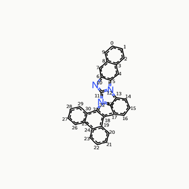 c1ccc2cc3c(cc2c1)nc1n3c2cccc3c4c5ccccc5c5ccccc5c4n1c32